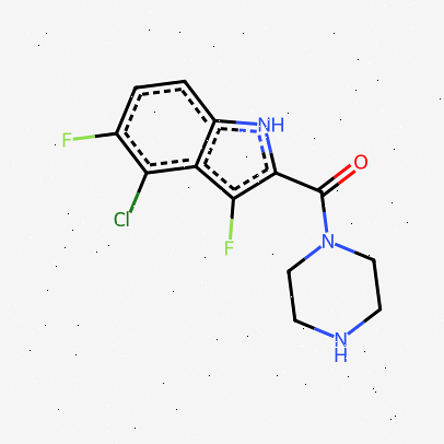 O=C(c1[nH]c2ccc(F)c(Cl)c2c1F)N1CCNCC1